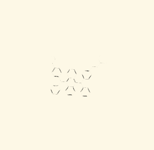 CCOC(=O)CCc1ccc(N(c2ccccc2)c2c3ccccc3c(C(c3ccccc3)c3ccc(CCC(O)OCC)cc3)c3ccccc23)cc1